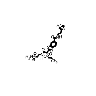 NS(=O)(=O)CCNC(=O)C(c1nc2ccc(C(=O)NCCc3c[nH]cn3)cc2s1)S(=O)(=O)CCC(F)(F)F